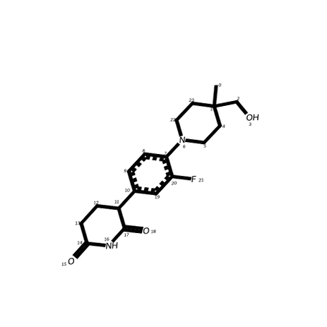 CC1(CO)CCN(c2ccc(C3CCC(=O)NC3=O)cc2F)CC1